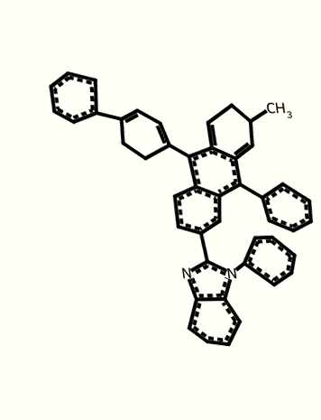 CC1C=c2c(-c3ccccc3)c3cc(-c4nc5ccccc5n4-c4ccccc4)ccc3c(C3=CC=C(c4ccccc4)CC3)c2=CC1